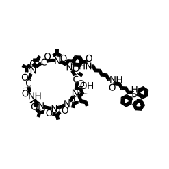 C/C=C/C[C@@H](C)[C@@H](O)[C@H]1C(=O)C[C@@H](CC)C(=O)N(C)C(Cc2ccc(C(=O)NCCCCCCNC(=O)CCCCC[PH](c3ccccc3)(c3ccccc3)c3ccccc3)cc2)C(=O)N(C)[C@@H](CC(C)C)C(=O)C[C@@H](C(C)C)C(=O)N(C)[C@@H](CC(C)C)C(=O)C[C@@H](C)C(=O)N[C@H](C)C(=O)N(C)[C@@H](CC(C)C)C(=O)N(C)[C@@H](CC(C)C)C(=O)N(C)[C@@H](C(C)C)C(=O)N1C